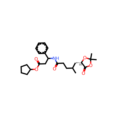 CC(CCC(=O)NC(CC(=O)OC1CCCC1)c1ccccc1)C[C@@H]1OC(C)(C)OC1=O